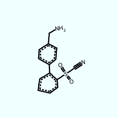 N#CS(=O)(=O)c1ccccc1-c1ccc(CN)cc1